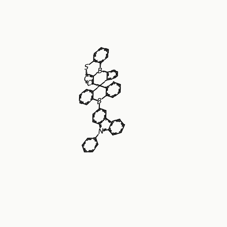 c1ccc(-n2c3ccccc3c3cc(B4c5ccccc5C5(c6ccccc64)c4ccccc4B4c6ccccc6Sc6cccc5c64)ccc32)cc1